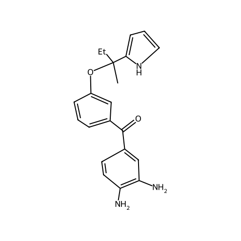 CCC(C)(Oc1cccc(C(=O)c2ccc(N)c(N)c2)c1)c1ccc[nH]1